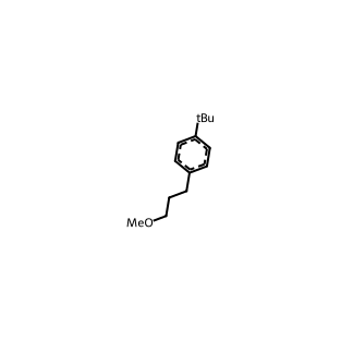 COCCCc1ccc(C(C)(C)C)cc1